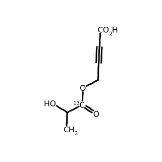 CC(O)[13C](=O)OCC#CC(=O)O